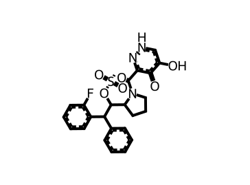 CS(=O)(=O)OC(C(c1ccccc1)c1ccccc1F)C1CCCN1C(=O)c1n[nH]cc(O)c1=O